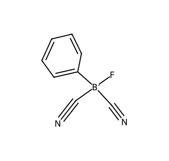 N#C[B-](F)(C#N)c1ccccc1